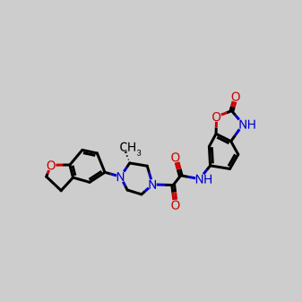 C[C@@H]1CN(C(=O)C(=O)Nc2ccc3[nH]c(=O)oc3c2)CCN1c1ccc2c(c1)CCO2